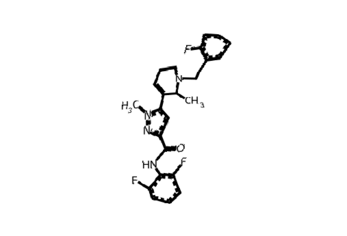 CC1C(c2cc(C(=O)Nc3c(F)cccc3F)nn2C)=CCCN1Cc1ccccc1F